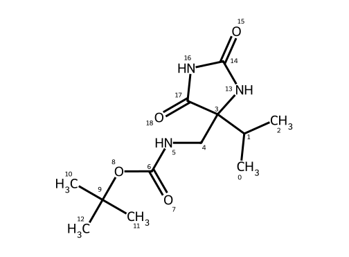 CC(C)C1(CNC(=O)OC(C)(C)C)NC(=O)NC1=O